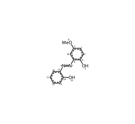 COc1ccc(O)c(N=Nc2ccccc2O)c1